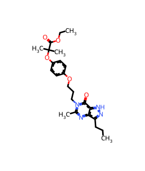 CCCc1n[nH]c2c(=O)n(CCCOc3ccc(OC(C)(C)C(=O)OCC)cc3)c(C)nc12